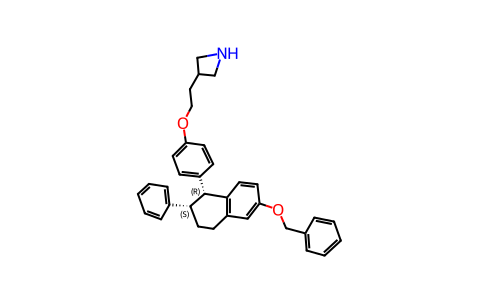 c1ccc(COc2ccc3c(c2)CC[C@H](c2ccccc2)[C@@H]3c2ccc(OCCC3CNC3)cc2)cc1